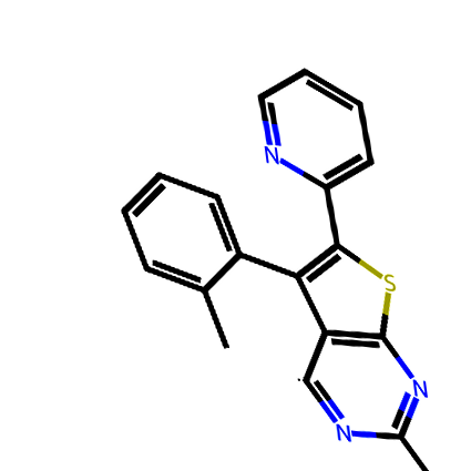 Cc1n[c]c2c(-c3ccccc3C)c(-c3ccccn3)sc2n1